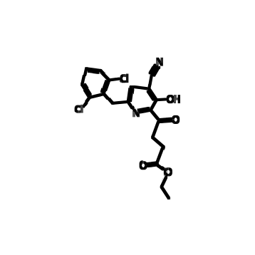 CCOC(=O)CCC(=O)c1nc(Cc2c(Cl)cccc2Cl)cc(C#N)c1O